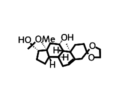 COC(C)(O)[C@H]1CC[C@H]2[C@@H]3CC=C4CC5(CC[C@]4(C)[C@H]3[C@@H](O)C[C@]12C)OCCO5